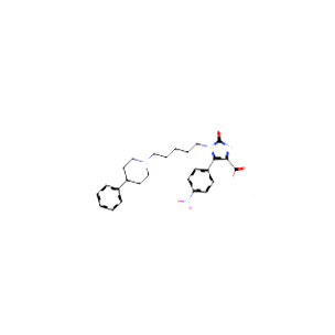 COC(=O)c1[nH]c(=O)n(CCCCCN2CCC(c3ccccc3)CC2)c1-c1ccc([N+](=O)[O-])cc1